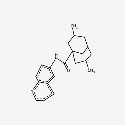 CC1CC2CC(C)CC(C(=O)Nc3ccc4ncccc4c3)(C1)C2